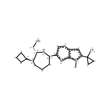 Cn1c(C2(C(F)(F)F)CC2)cc2ncc([C@H]3CCC[C@@H](C4CCC4)[C@H](CO)N3)nc21